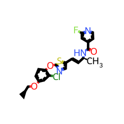 C[C@@H](/C=C/c1cnc(Oc2ccc(OCC3CC3)cc2Cl)s1)NC(=O)c1ccnc(F)c1